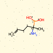 C=CCCC(C)(N)P(O)O